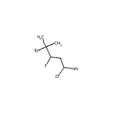 CCCC(Cl)CC(F)C(C)(C)CC